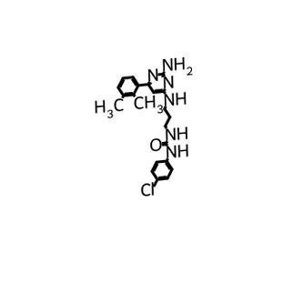 Cc1cccc(-c2cc(NCCCNC(=O)Nc3ccc(Cl)cc3)nc(N)n2)c1C